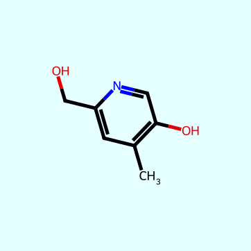 Cc1cc(CO)ncc1O